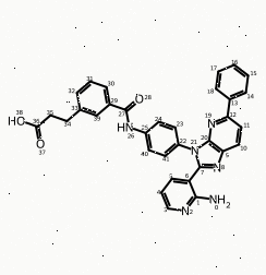 Nc1ncccc1-c1nc2ccc(-c3ccccc3)nc2n1-c1ccc(NC(=O)c2cccc(CCC(=O)O)c2)cc1